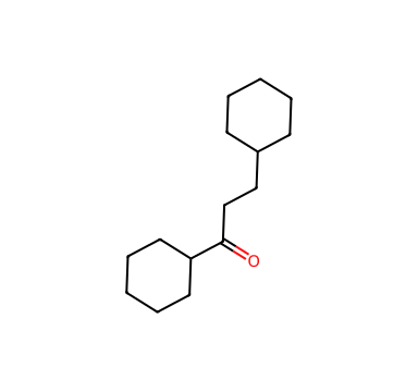 O=C(CCC1CCCCC1)C1CCCCC1